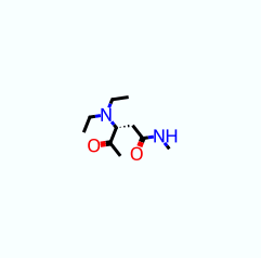 CCN(CC)[C@H](CC(=O)NC)C(C)=O